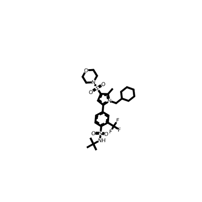 Cc1c(S(=O)(=O)N2CCOCC2)cc(-c2ccc(S(=O)(=O)NC(C)(C)C)c(C(F)(F)F)c2)n1CC1CCCCC1